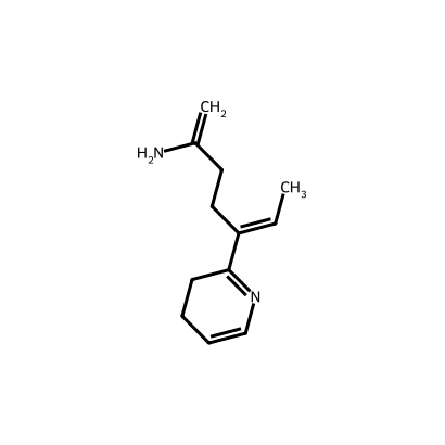 C=C(N)CC/C(=C\C)C1=NC=CCC1